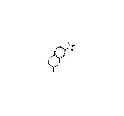 CC1CNc2ncc(S(=O)(=O)Cl)cc2O1